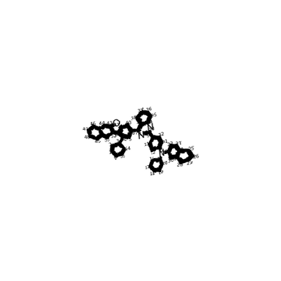 c1ccc(-c2cc(-c3nc(-c4ccc(N(c5ccccc5)c5ccc6ccccc6c5)cc4)nc4ccccc34)cc3oc4cc5ccccc5cc4c23)cc1